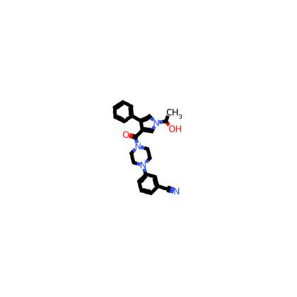 CC(O)n1cc(C(=O)N2CCN(c3cccc(C#N)c3)CC2)c(-c2ccccc2)c1